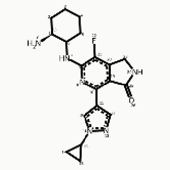 N[C@H]1CCCCC1Nc1nc(-c2cnn(C3CC3)c2)c2c(c1F)CNC2=O